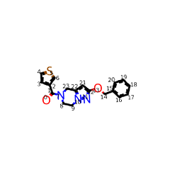 O=C(c1ccsc1)N1CCn2nc(OCc3ccccc3)cc2C1